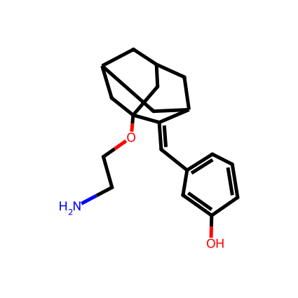 NCCOC12CC3CC(CC(C3)C1=Cc1cccc(O)c1)C2